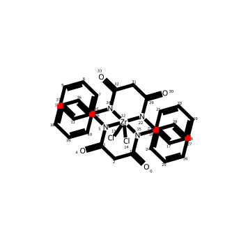 O=C1CC(=O)[N](c2ccccc2)[Zr]2([Cl])([Cl])([N]1c1ccccc1)[N](c1ccccc1)C(=O)CC(=O)[N]2c1ccccc1